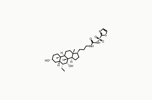 CC[C@H]1[C@@H](O)[C@@H]2[C@H](CC[C@]3(C)[C@@H](CCCNC(=O)NS(=O)(=O)c4nccs4)CC[C@@H]23)[C@@]2(C)CC[C@@H](O)C[C@@H]12